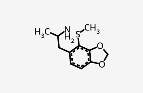 CSc1c(CC(C)N)ccc2c1OCO2